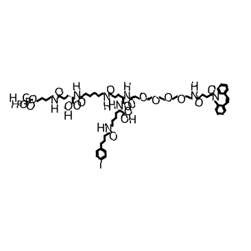 CP(=O)(O)OCCCCNC(=O)CC[C@H](NC(=O)CCCCCNC(=O)CCC(NC(=O)CCOCCOCCOCCOCCNC(=O)CCC(=O)N1Cc2ccccc2C#Cc2ccccc21)C(=O)NC(CCCCNC(=O)CCCc1ccc(I)cc1)C(=O)O)C(=O)O